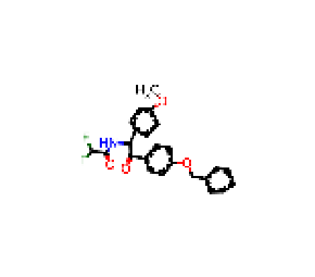 COc1ccc(C(NC(=O)C(F)F)C(=O)c2ccc(OCc3ccccc3)cc2)cc1